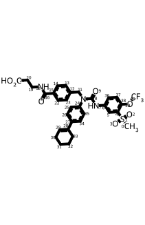 CS(=O)(=O)c1cc(NC(=O)N(Cc2ccc(C(=O)NCCC(=O)O)cc2)c2ccc(C3=CCCCC3)cc2)ccc1OC(F)(F)F